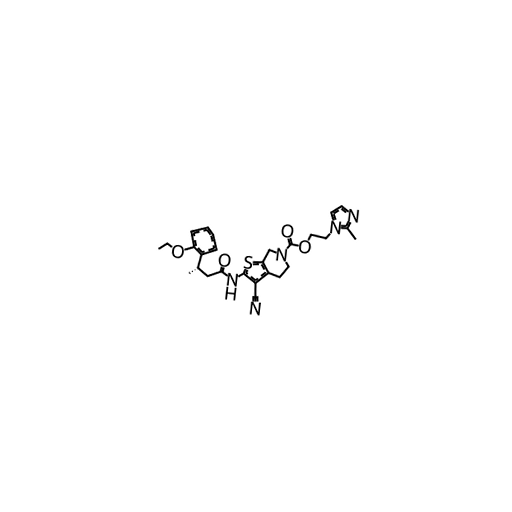 CCOc1ccccc1[C@@H](C)CC(=O)Nc1sc2c(c1C#N)CCN(C(=O)OCCn1ccnc1C)C2